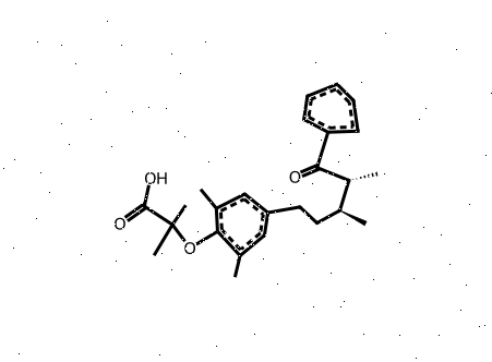 Cc1cc(CC[C@H](C)[C@@H](C)C(=O)c2ccccc2)cc(C)c1OC(C)(C)C(=O)O